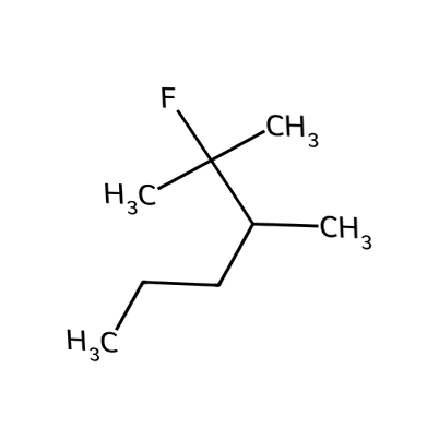 CCCC(C)C(C)(C)F